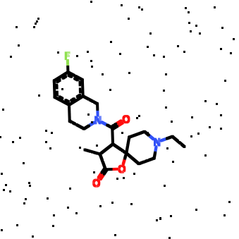 CCN1CCC2(CC1)OC(=O)C(C)C2C(=O)N1CCc2ccc(F)cc2C1